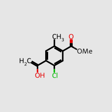 C=C(O)c1cc(C)c(C(=O)OC)cc1Cl